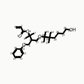 C=CC(=O)OC(C)(C)C(COc1ccccc1)COC(C)(C)C(C)(C)CCCCO